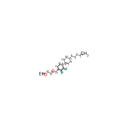 C=CCCCC1CC=C(c2ccc(COCCOCC)c(F)c2F)CC1